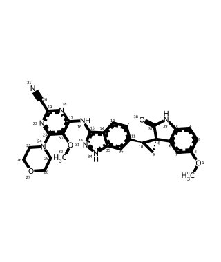 COc1ccc2c(c1)[C@]1(C[C@H]1c1ccc3c(Nc4nc(C#N)nc(N5CCOCC5)c4OC)n[nH]c3c1)C(=O)N2